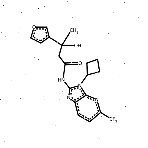 CC(O)(CC(=O)Nc1nc2ccc(C(F)(F)F)nc2n1C1CCC1)c1ccoc1